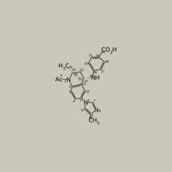 CC(=O)N1c2ccc(-n3cnc(C)c3)cc2[C@@H](Nc2ccc(C(=O)O)cc2)C[C@H]1C